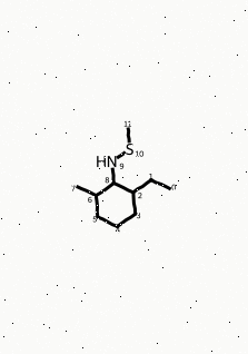 CCC1CCCC(C)C1NSC